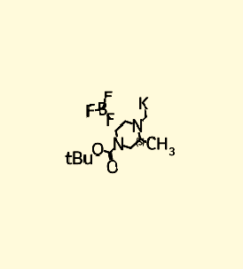 C[C@H]1CN(C(=O)OC(C)(C)C)CCN1[CH2][K].FB(F)F